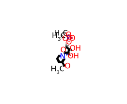 COP(=O)(OC)OC[C@H]1O[C@@H]([n+]2cccc(C(C)=O)c2)[C@H](O)[C@@H]1O